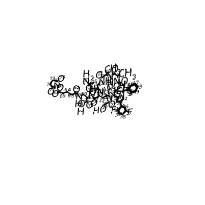 CC(=O)N[C@@H](C)C(=O)N[C@H](C)C(=O)N[C@@H](CC(N)=O)C(=O)N[C@@H](CCN(C(=O)CO)[C@@H](c1cc(-c2cc(F)ccc2F)cn1Cc1ccccc1)C(C)(C)C)C(=O)N[C@H](CNC(=O)CCCC(=O)ON1C(=O)CCC1=O)C(=O)O